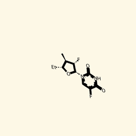 CC[C@H]1O[C@@H](n2cc(F)c(=O)[nH]c2=O)[C@@H](F)[C@@H]1C